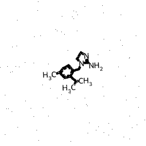 Cc1ccc(CN2CCN=C2N)c(C(C)C)c1